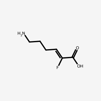 NCCCC=C(F)C(=O)O